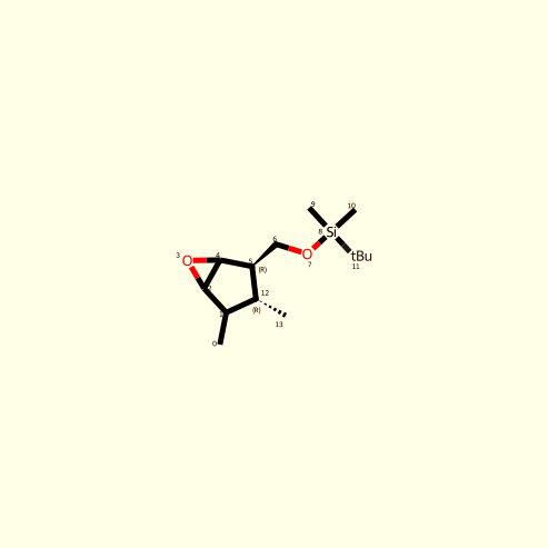 CC1C2OC2[C@@H](CO[Si](C)(C)C(C)(C)C)[C@@H]1C